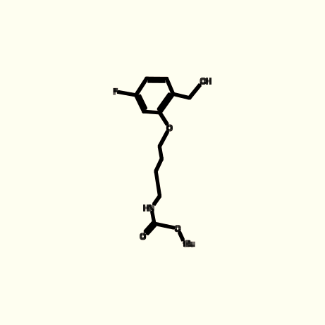 CC(C)(C)OC(=O)NCCCCOc1cc(F)ccc1CO